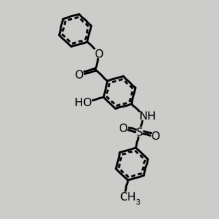 Cc1ccc(S(=O)(=O)Nc2ccc(C(=O)Oc3ccccc3)c(O)c2)cc1